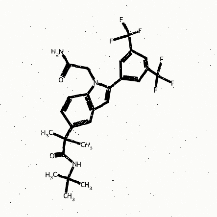 CC(C)(C)NC(=O)C(C)(C)c1ccc2c(c1)cc(-c1cc(C(F)(F)F)cc(C(F)(F)F)c1)n2CC(N)=O